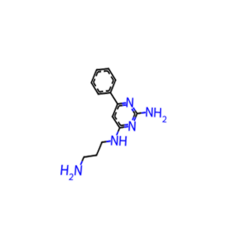 NCCCNc1cc(-c2ccccc2)nc(N)n1